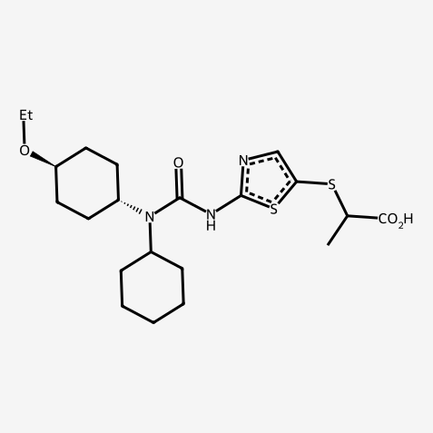 CCO[C@H]1CC[C@H](N(C(=O)Nc2ncc(SC(C)C(=O)O)s2)C2CCCCC2)CC1